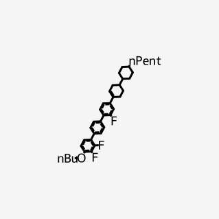 CCCCCC1CCC(C2CC=C(c3ccc(-c4ccc(-c5ccc(OCCCC)c(F)c5F)cc4)c(F)c3)CC2)CC1